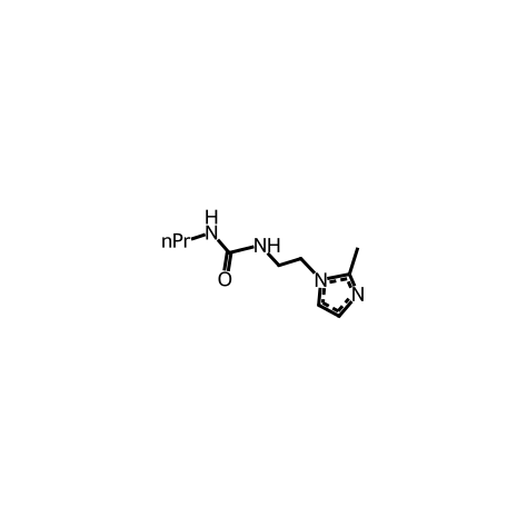 CCCNC(=O)NCCn1ccnc1C